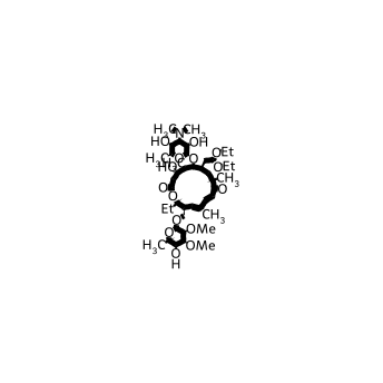 CCOC(C[C@H]1C[C@@H](C)C(=O)/C=C/C(C)=C/[C@H](COC2O[C@H](C)[C@@H](O)[C@@H](OC)[C@H]2OC)[C@@H](CC)OC(=O)C[C@@H](O)[C@H](C)[C@H]1O[C@@H]1O[C@H](C)[C@@H](O)[C@@H](N(C)C)[C@H]1O)OCC